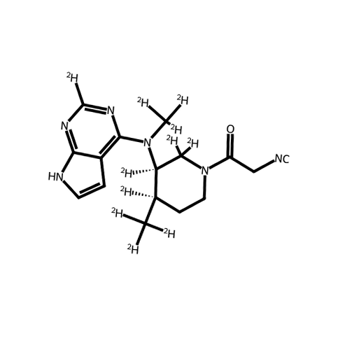 [2H]c1nc(N(C([2H])([2H])[2H])[C@@]2([2H])C([2H])([2H])N(C(=O)C[N+]#[C-])CC[C@@]2([2H])C([2H])([2H])[2H])c2cc[nH]c2n1